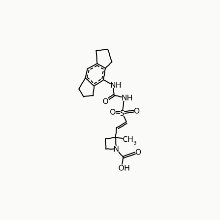 CC1(C=CS(=O)(=O)NC(=O)Nc2c3c(cc4c2CCC4)CCC3)CCN1C(=O)O